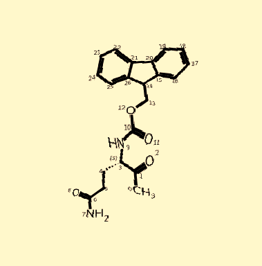 CC(=O)[C@H](CCC(N)=O)NC(=O)OCC1c2ccccc2-c2ccccc21